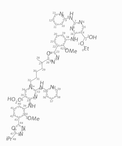 CCOC(O)c1cnc(Nc2ccccn2)nc1Nc1cccc(-c2nnc(C(C)CCCC[n+]3cc(C(=O)O)c(Nc4cccc(-c5nnc(C(C)C)o5)c4OC)nc3Nc3ccccn3)o2)c1OC